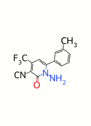 [C-]#[N+]c1c(C(F)(F)F)cc(-c2cccc(C)c2)n(N)c1=O